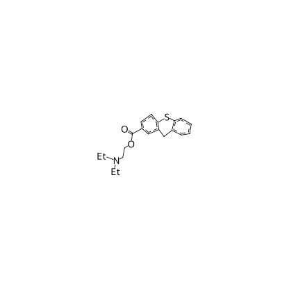 CCN(CC)CCOC(=O)c1ccc2c(c1)Cc1ccccc1S2